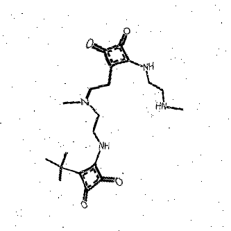 CNCCNc1c(CCN(C)CCNc2c(C(C)(C)C)c(=O)c2=O)c(=O)c1=O